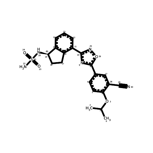 CC(C)Oc1ccc(-c2nc(-c3cccc4c3CC[C@H]4NS(N)(=O)=O)no2)cc1C#N